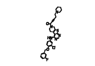 O=C(C#CCCN1CCCCC1)N1CCc2c(sc3ncnc(Nc4ccc(OCc5cccc(F)c5)c(Cl)c4)c23)C1